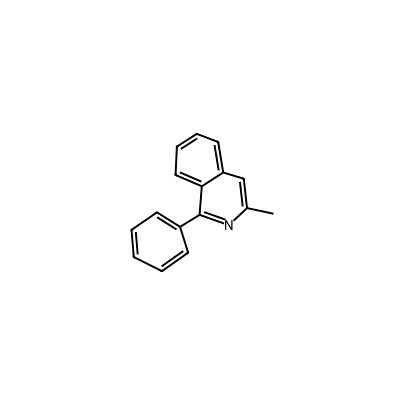 Cc1cc2ccccc2c(-c2ccccc2)n1